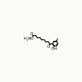 NOC(=O)CCCCCCCC(=O)c1cc(I)ccc1O